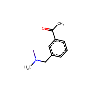 CC(=O)c1cccc(CN(C)I)c1